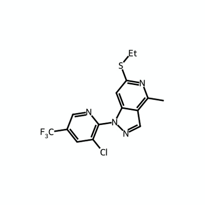 CCSc1cc2c(cnn2-c2ncc(C(F)(F)F)cc2Cl)c(C)n1